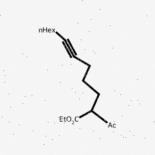 CCCCCCC#CCCCC(C(C)=O)C(=O)OCC